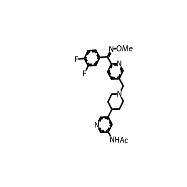 CON=C(c1ccc(F)c(F)c1)c1ccc(CN2CCC(c3cncc(NC(C)=O)c3)CC2)cn1